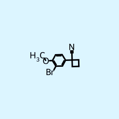 COc1ccc(C2(C#N)CCC2)cc1Br